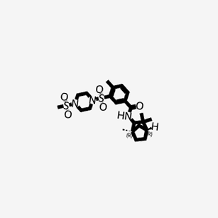 Cc1ccc(C(=O)NC2C(C)(C)[C@@H]3CC[C@]2(C)C3)cc1S(=O)(=O)N1CCN(S(C)(=O)=O)CC1